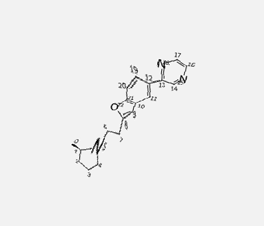 C[C@@H]1CCCN1CCc1cc2cc(-c3cnccn3)ccc2o1